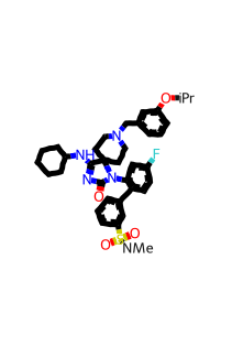 CNS(=O)(=O)c1cccc(-c2ccc(F)cc2N2C(=O)N=C(NC3CCCCC3)C23CCN(Cc2cccc(OC(C)C)c2)CC3)c1